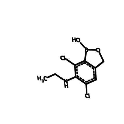 CCNc1c(Cl)cc2c(c1Cl)B(O)OC2